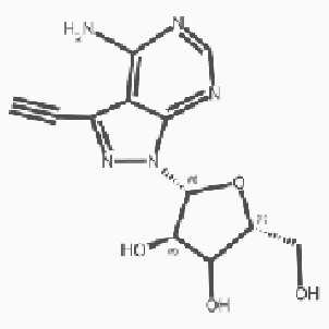 C#Cc1nn([C@@H]2O[C@H](CO)C(O)[C@H]2O)c2ncnc(N)c12